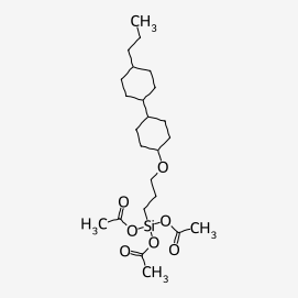 CCCC1CCC(C2CCC(OCCC[Si](OC(C)=O)(OC(C)=O)OC(C)=O)CC2)CC1